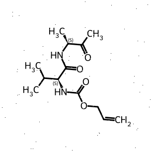 C=CCOC(=O)N[C@H](C(=O)N[C@@H](C)C(C)=O)C(C)C